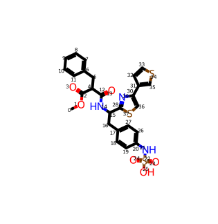 COC(=O)C(Cc1ccccc1)C(=O)NC(Cc1ccc(NS(=O)(=O)O)cc1)c1nc(-c2ccsc2)cs1